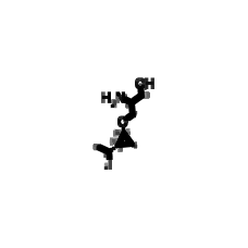 CC(I)[C@H]1C[C@H]1OCC(N)CO